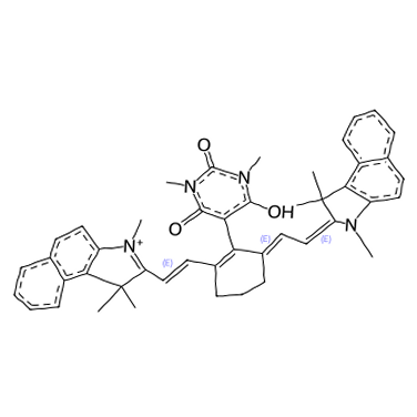 CN1/C(=C/C=C2\CCCC(/C=C/C3=[N+](C)c4ccc5ccccc5c4C3(C)C)=C2c2c(O)n(C)c(=O)n(C)c2=O)C(C)(C)c2c1ccc1ccccc21